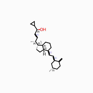 C=C1CC[C@H](C)C/C1=C\C=C1/CCC[C@]2(C)[C@@H]([C@H](C)/C=C/[C@H](O)C3CC3)CC[C@@H]12